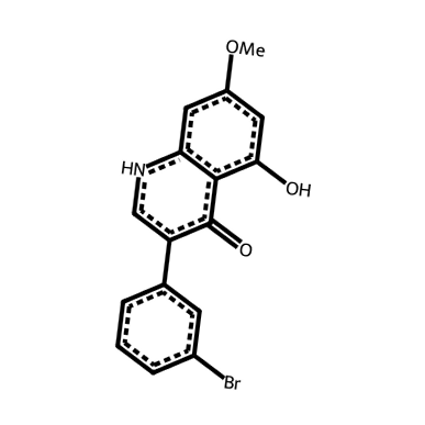 COc1cc(O)c2c(=O)c(-c3cccc(Br)c3)c[nH]c2c1